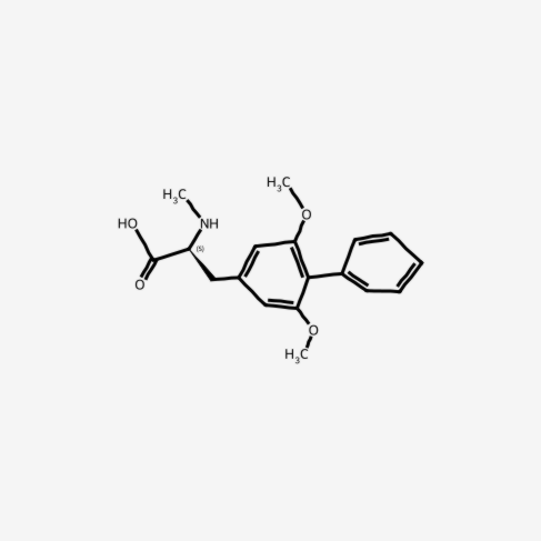 CN[C@@H](Cc1cc(OC)c(-c2ccccc2)c(OC)c1)C(=O)O